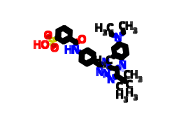 CCN(CC)c1ccc(/N=C2/C(C(C)(C)C)=Nn3nc(-c4ccc(NC(=O)c5cccc(S(=O)(=O)O)c5)cc4)nc32)c(C)c1